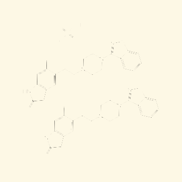 CS(=O)(=O)O.O=C1Cc2cc(CCN3CCN(c4nsc5ccccc45)CC3)c(Cl)cc2N1.O=C1Cc2cc(CCN3CCN(c4nsc5ccccc45)CC3)c(Cl)cc2N1